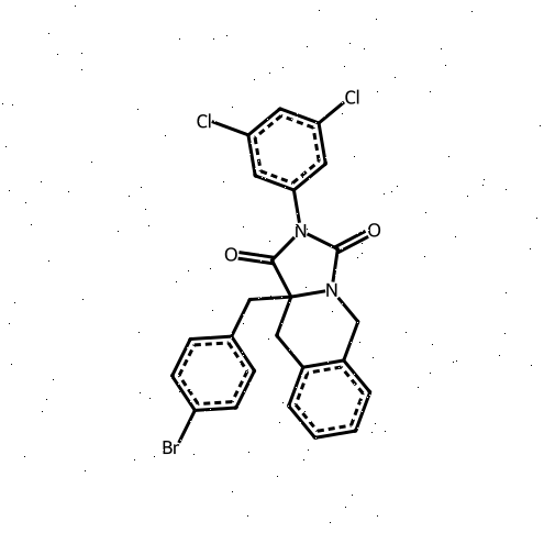 O=C1N(c2cc(Cl)cc(Cl)c2)C(=O)C2(Cc3ccc(Br)cc3)Cc3ccccc3CN12